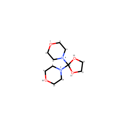 C1CN(C2(N3CCOCC3)OCCO2)CCO1